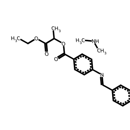 CCOC(=O)C(C)OC(=O)c1ccc(N=Cc2ccccc2)cc1.CNC